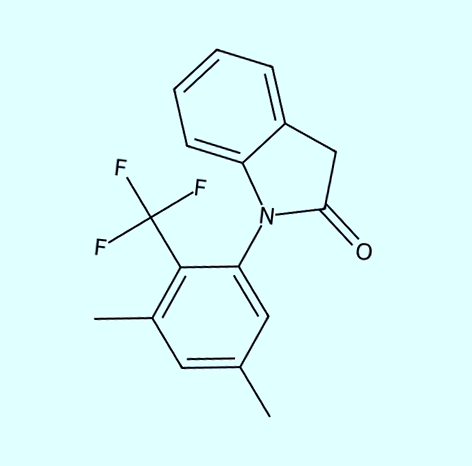 Cc1cc(C)c(C(F)(F)F)c(N2C(=O)Cc3ccccc32)c1